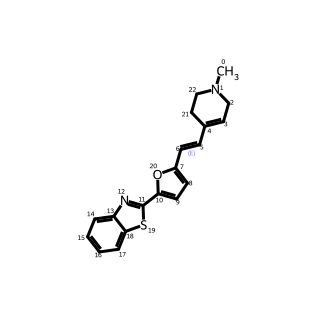 CN1CC=C(/C=C/c2ccc(-c3nc4ccccc4s3)o2)CC1